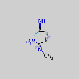 C/N=C(N)\C=C/C(=N)F